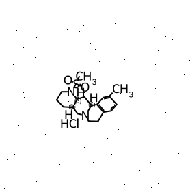 Cc1ccc2c(c1)[C@@H]1C[C@H]3[C@H](CCCN3S(C)(=O)=O)CN1CC2.Cl